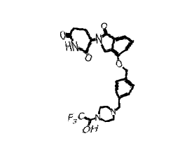 O=C1CCC(N2Cc3c(OCc4ccc(CN5CCN(C(O)C(F)(F)F)CC5)cc4)cccc3C2=O)C(=O)N1